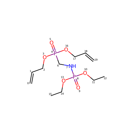 C=CCOP(=O)(CNP(=O)(OCC)OCC)OCC=C